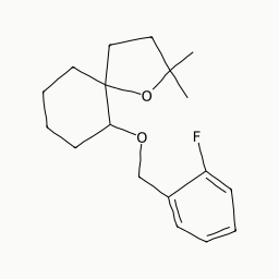 CC1(C)CCC2(CCCCC2OCc2ccccc2F)O1